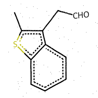 Cc1sc2ccccc2c1CC=O